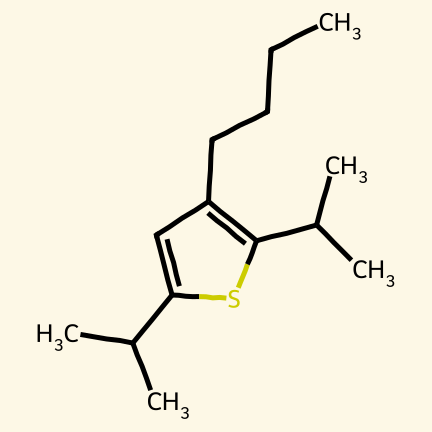 CCCCc1cc(C(C)C)sc1C(C)C